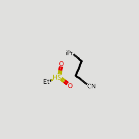 CC(C)CCC#N.CC[SH](=O)=O